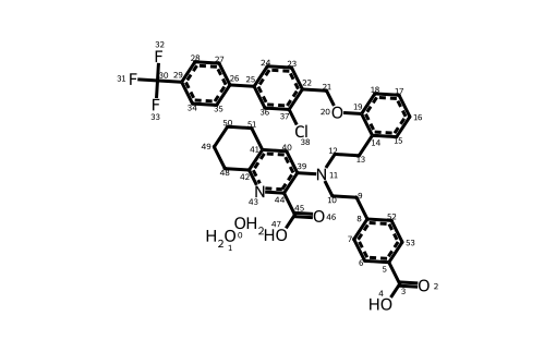 O.O.O=C(O)c1ccc(CCN(CCc2ccccc2OCc2ccc(-c3ccc(C(F)(F)F)cc3)cc2Cl)c2cc3c(nc2C(=O)O)CCCC3)cc1